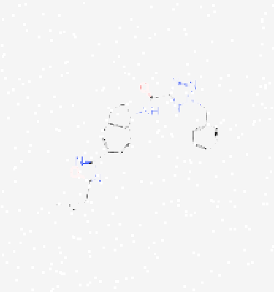 CCc1nc(-c2ccc3c(c2)CC[C@H]3NC(=O)c2nnn(Cc3ccccc3)n2)no1